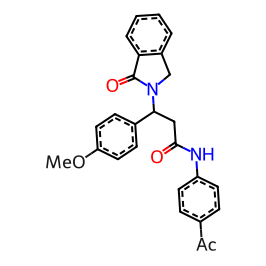 COc1ccc(C(CC(=O)Nc2ccc(C(C)=O)cc2)N2Cc3ccccc3C2=O)cc1